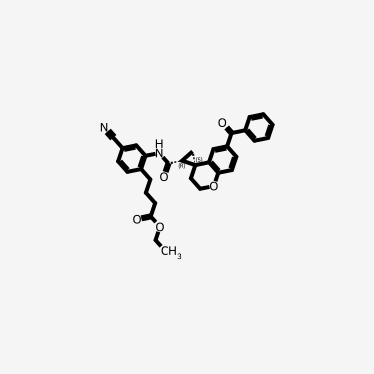 CCOC(=O)CCCc1ccc(C#N)cc1NC(=O)[C@@H]1C[C@]12CCOc1ccc(C(=O)c3ccccc3)cc12